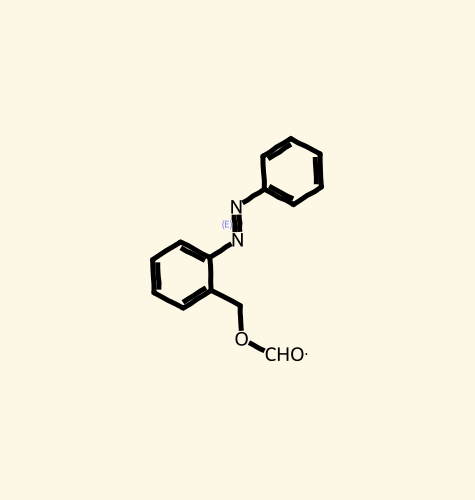 O=[C]OCc1ccccc1/N=N/c1ccccc1